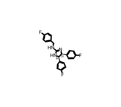 Fc1ccc(CNC2=N[C@@H](c3ccc(F)cc3)[C@@H](c3ccc(F)cc3)N2)cc1